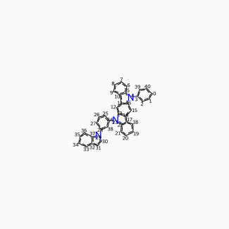 c1ccc(-n2c3ccccc3c3cc4c(cc32)c2ccccc2n4-c2cccc(-n3ccc4ccccc43)c2)cc1